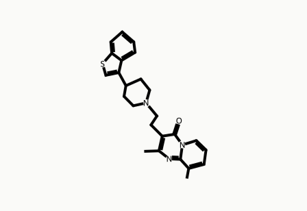 Cc1nc2c(C)cccn2c(=O)c1CCN1CCC(c2csc3ccccc23)CC1